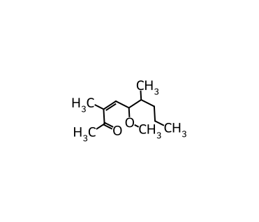 CCCC(C)C(C=C(C)C(C)=O)OC